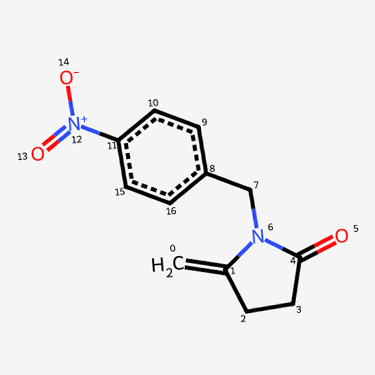 C=C1CCC(=O)N1Cc1ccc([N+](=O)[O-])cc1